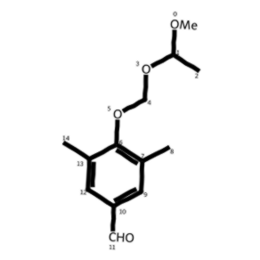 COC(C)OCOc1c(C)cc(C=O)cc1C